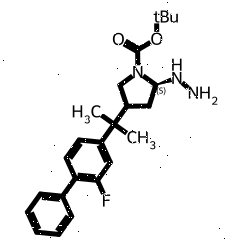 CC(C)(C)OC(=O)N1CC(C(C)(C)c2ccc(-c3ccccc3)c(F)c2)C[C@@H]1NN